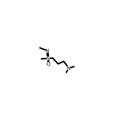 CN=S(C)(=O)CCCN(C)C